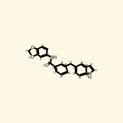 O=C(Nc1ccc2c(c1)OCO2)c1cccc(Cc2ccc3[nH]ccc3c2)c1